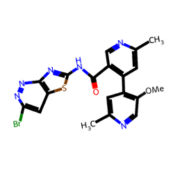 COc1cnc(C)cc1-c1cc(C)ncc1C(=O)Nc1nc2nnc(Br)cc2s1